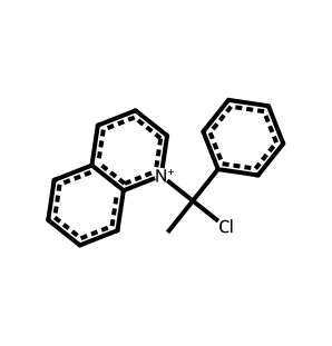 CC(Cl)(c1ccccc1)[n+]1cccc2ccccc21